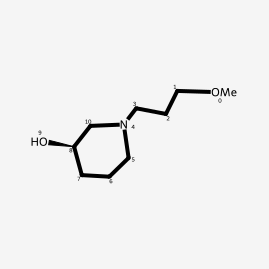 COCCCN1CCC[C@@H](O)C1